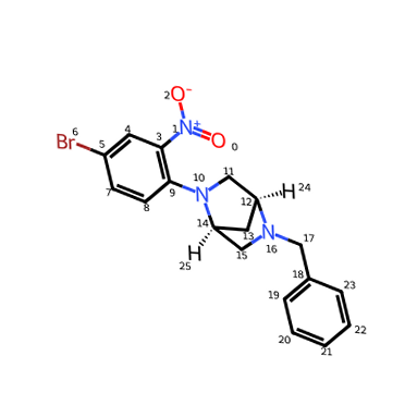 O=[N+]([O-])c1cc(Br)ccc1N1C[C@@H]2C[C@H]1CN2Cc1ccccc1